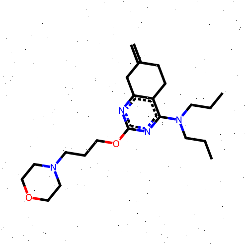 C=C1CCc2c(nc(OCCCN3CCOCC3)nc2N(CCC)CCC)C1